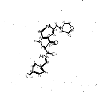 Cn1cc(C(=O)NCc2ccc(Cl)cc2)c(=O)c2cc(CN3CCOCC3)ncc21